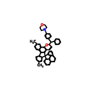 Cc1ccc2c(c1)C1(c3c4c(c5cc(C)ccc5c3-2)OC(C(c2ccccc2)c2ccc(N3CCOCC3)cc2)C=C4)c2cccc3ccc4cccc1c4c23